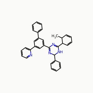 CC1C=CC=CC1C1=NC(c2cc(-c3ccccc3)cc(-c3ccccn3)c2)=NC(c2ccccc2)N1